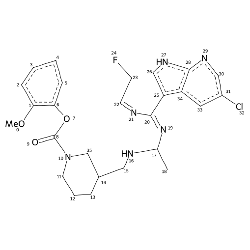 COc1ccccc1OC(=O)N1CCCC(CNC(C)/N=C(\N=C/CF)c2c[nH]c3ncc(Cl)cc23)C1